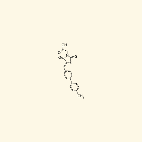 Cc1ccc(-c2ccc(/C=C3\SC(=S)N(CC(=O)O)C3=O)cc2)cc1